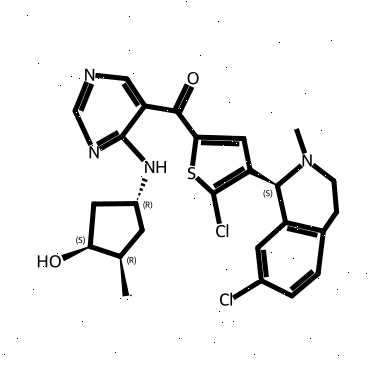 [CH2][C@@H]1C[C@@H](Nc2ncncc2C(=O)c2cc([C@@H]3c4cc(Cl)ccc4CCN3C)c(Cl)s2)C[C@@H]1O